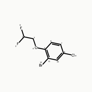 FC(F)COc1ccc(Cl)cc1Br